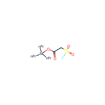 CCC[Si](CCC)(CCC)OC(=O)CS(=O)(=O)F